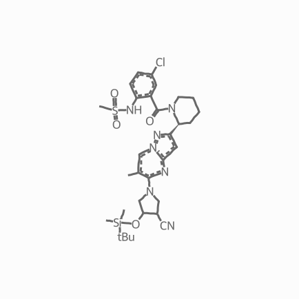 Cc1cn2nc([C@@H]3CCCCN3C(=O)c3cc(Cl)ccc3NS(C)(=O)=O)cc2nc1N1CC(C#N)C(O[Si](C)(C)C(C)(C)C)C1